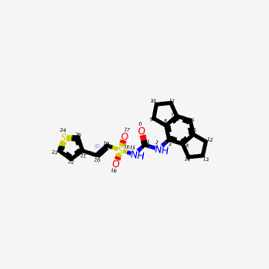 O=C(Nc1c2c(cc3c1CCC3)CCC2)NS(=O)(=O)/C=C/c1ccsc1